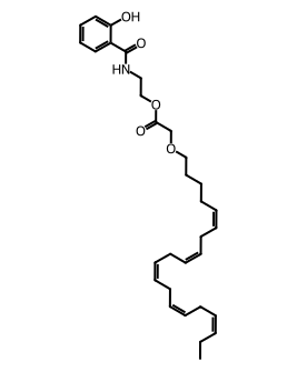 CC/C=C\C/C=C\C/C=C\C/C=C\C/C=C\CCCCOCC(=O)OCCNC(=O)c1ccccc1O